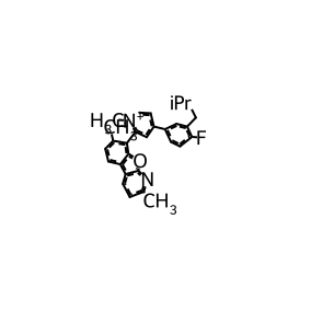 Cc1ccc2c(n1)oc1c(-c3cc(-c4ccc(F)c(CC(C)C)c4)cc[n+]3C)c(C)ccc12